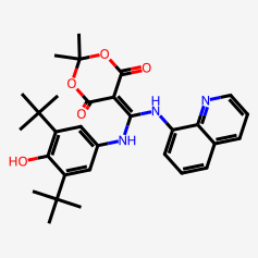 CC1(C)OC(=O)C(=C(Nc2cc(C(C)(C)C)c(O)c(C(C)(C)C)c2)Nc2cccc3cccnc23)C(=O)O1